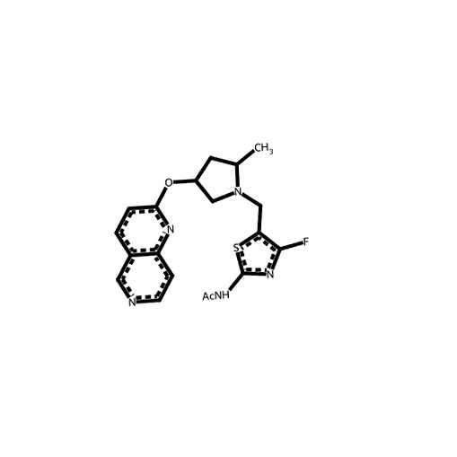 CC(=O)Nc1nc(F)c(CN2CC(Oc3ccc4cnccc4n3)CC2C)s1